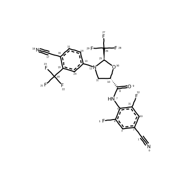 N#Cc1cc(F)c(NC(=O)[C@@H]2CN(c3ccc(C#N)c(C(F)(F)F)c3)[C@@H](C(F)(F)F)O2)c(F)c1